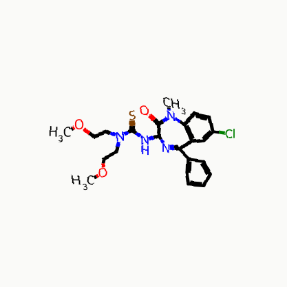 COCCN(CCOC)C(=S)NC1N=C(c2ccccc2)c2cc(Cl)ccc2N(C)C1=O